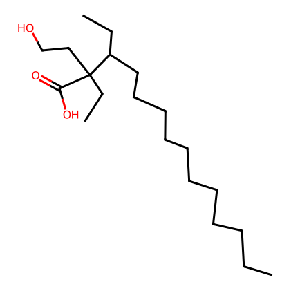 CCCCCCCCCCCC(CC)C(CC)(CCO)C(=O)O